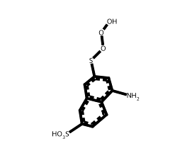 Nc1cc(SOOO)cc2cc(S(=O)(=O)O)ccc12